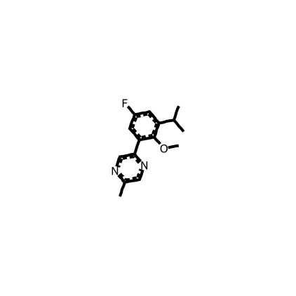 COc1c(-c2cnc(C)cn2)cc(F)cc1C(C)C